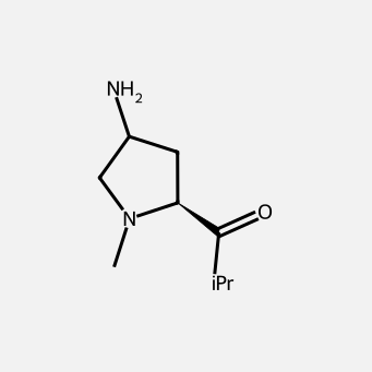 CC(C)C(=O)[C@@H]1CC(N)CN1C